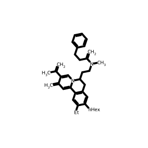 C=C(C)C1=CN2C(=CC1=C)c1cc(CC)c(CCCCCC)cc1CC2CCN(C)C(=C)CCc1ccccc1